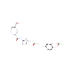 O=C(COc1ccc2c(c1)OC(F)(F)O2)NC1CC2(NC(=O)C3CC(CO)CCN3)CC1C2